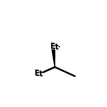 C[CH][C@@H](C)CC